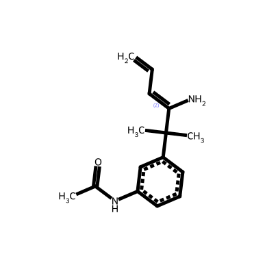 C=C/C=C(\N)C(C)(C)c1cccc(NC(C)=O)c1